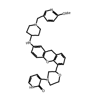 COc1ccc(CN2CCC(Nc3ccc4c(c3)Cc3cccc(C5CN(c6ccc[nH]c6=O)CCO5)c3O4)CC2)cn1